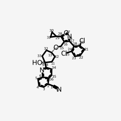 N#Cc1cccc2nc([C@]3(O)CC[C@@H](OCc4c(-c5c(Cl)cccc5Cl)noc4C4CC4)CC3)ccc12